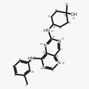 Cc1cccc(Nc2ncnc3cnc(NC4CCC(C)(O)CC4)nc23)c1